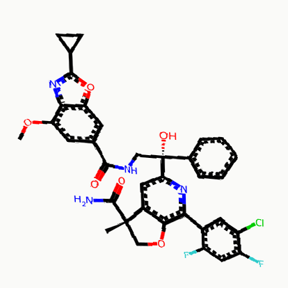 COc1cc(C(=O)NC[C@@](O)(c2ccccc2)c2cc3c(c(-c4cc(Cl)c(F)cc4F)n2)OC[C@]3(C)C(N)=O)cc2oc(C3CC3)nc12